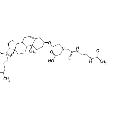 CC(=O)NCCNC(=O)CN(CCO[C@H]1CC[C@@]2(C)C(=CCC3C2CC[C@@]2(C)C3CC[C@@H]2[C@H](C)CCCC(C)C)C1)CC(=O)O